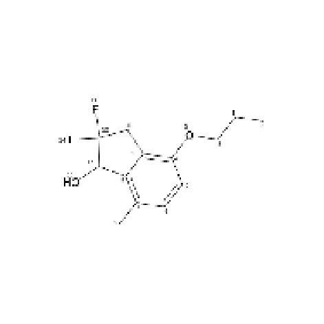 CCCOc1ccc(C)c2c1CC(F)(F)C2O